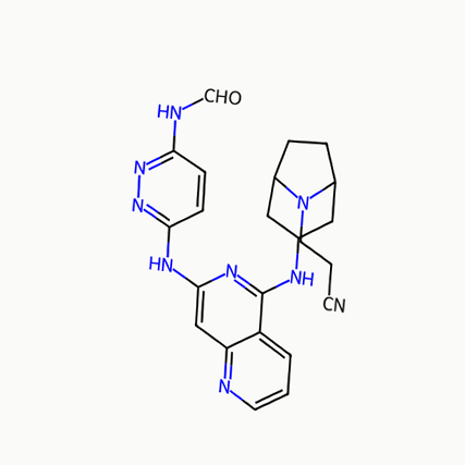 N#CCCN1C2CCC1CC(Nc1nc(Nc3ccc(NC=O)nn3)cc3ncccc13)C2